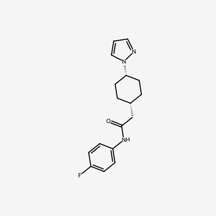 O=C(C[C@H]1CC[C@@H](n2cccn2)CC1)Nc1ccc(F)cc1